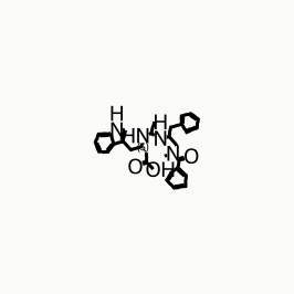 CC(NC(Cc1ccccc1)CN(C)C(=O)c1ccccc1)N[C@H](CC(=O)O)Cc1c[nH]c2ccccc12